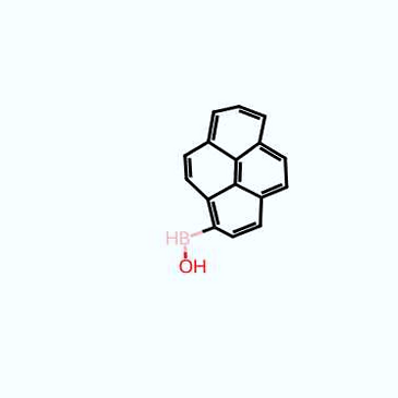 OBc1ccc2ccc3cccc4ccc1c2c34